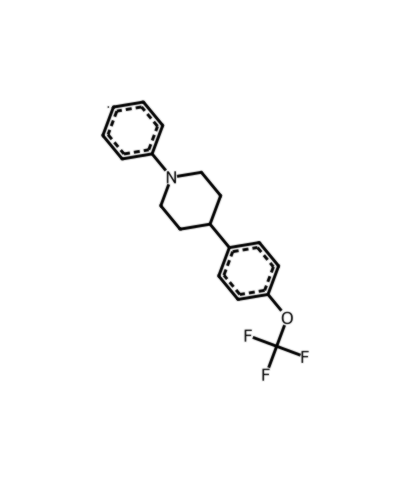 FC(F)(F)Oc1ccc(C2CCN(c3cc[c]cc3)CC2)cc1